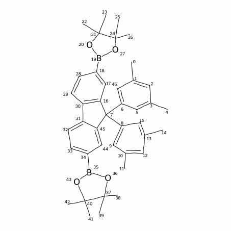 Cc1cc(C)cc(C2(c3cc(C)cc(C)c3)c3cc(B4OC(C)(C)C(C)(C)O4)ccc3-c3ccc(B4OC(C)(C)C(C)(C)O4)cc32)c1